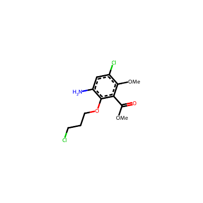 COC(=O)c1c(OCCCCl)c(N)cc(Cl)c1OC